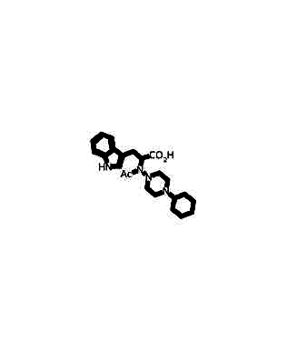 CC(=O)N(C(Cc1c[nH]c2ccccc12)C(=O)O)N1CCN(C2CCCCC2)CC1